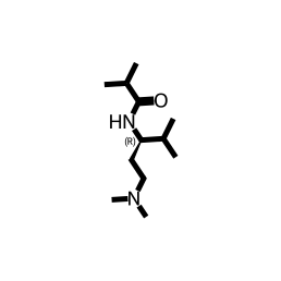 CC(C)C(=O)N[C@H](CCN(C)C)C(C)C